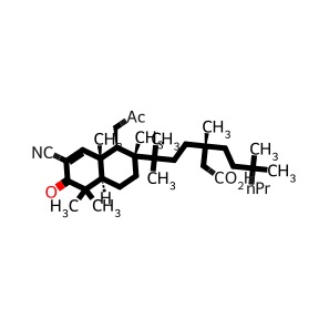 CCCC(C)(C)CC[C@@](C)(CCC(C)(C)[C@]1(C)CC[C@H]2C(C)(C)C(=O)C(C#N)=C[C@]2(C)[C@H]1CC(C)=O)CC(=O)O